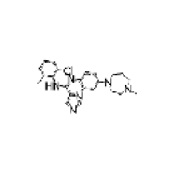 Cc1cccc(Cl)c1Nc1nc2ccc(N3CCCN(C)CC3)cc2n2cncc12